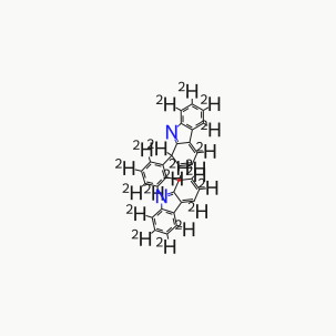 [2H]C1=C2C(=Nc3c([2H])c([2H])c([2H])c([2H])c32)C([2H])(c2c([2H])c([2H])c([2H])c([2H])c2C2([2H])C3=Nc4c([2H])c([2H])c([2H])c([2H])c4C3=C([2H])C([2H])=C2[2H])C([2H])=C1[2H]